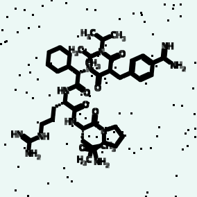 CC(C)C[C@H](NC(=O)[C@H](CCCNC(=N)N)NC(=O)[C@@H](NC(=O)C(Cc1ccc(C(=N)N)cc1)C(=O)N(C(C)C)C(C)C)C1CCCCC1)C(=O)N1CCC[C@H]1C(N)=O